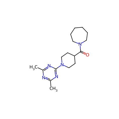 Cc1nc(C)nc(N2CCC(C(=O)N3CCCCCC3)CC2)n1